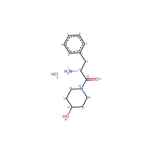 Cl.N[C@H](Cc1ccccc1)C(=O)N1CCC(O)CC1